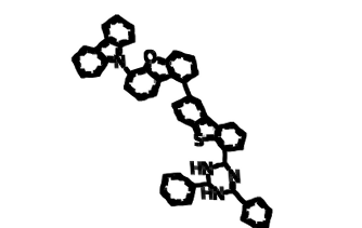 c1ccc(C2=NC(c3cccc4c3sc3ccc(-c5cccc6oc7c(-n8c9ccccc9c9ccccc98)cccc7c56)cc34)NC(c3ccccc3)N2)cc1